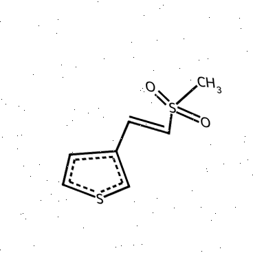 CS(=O)(=O)/C=C/c1ccsc1